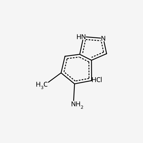 Cc1cc2[nH]ncc2cc1N.Cl